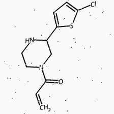 C=CC(=O)N1CCNC(c2ccc(Cl)s2)C1